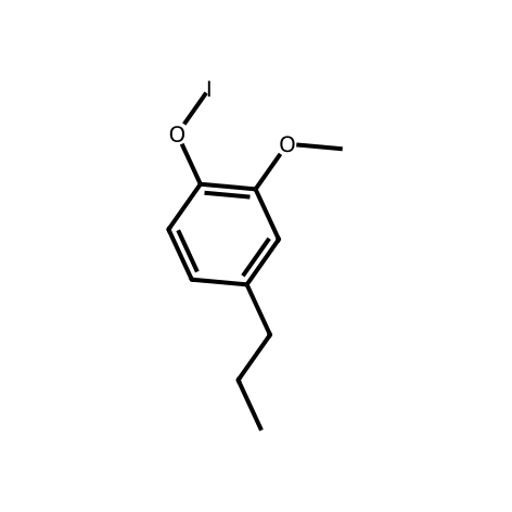 CCCc1ccc(OI)c(OC)c1